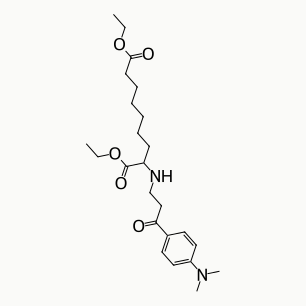 CCOC(=O)CCCCCCC(NCCC(=O)c1ccc(N(C)C)cc1)C(=O)OCC